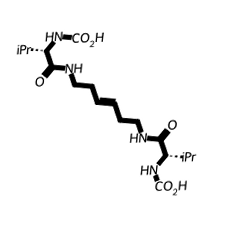 CC(C)[C@H](NC(=O)O)C(=O)NCCC=CCCNC(=O)[C@@H](NC(=O)O)C(C)C